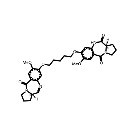 COc1cc2c(cc1OCCCCCOc1cc3c(cc1OC)C(=O)N1CCC[C@H]1C(=O)N3)N=C[C@@H]1CCCN1C2=O